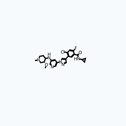 CO[C@@H]1CN(C)CCC1Nc1cncc(-n2cc(-c3cc(C(=O)NC4CC4)c(F)cc3Cl)cn2)c1